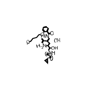 COCCCCOc1ccccc1C(=O)NCC(CC(N)C(O)CNS(=O)(=O)C1CC1)C(C)C.Cl